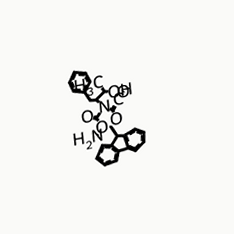 CC(O)C(Cc1ccccc1)N(C(=O)ON)C(=C=O)OCC1c2ccccc2-c2ccccc21